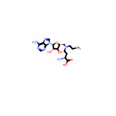 CCCN(CC[C@H](N)C(=O)O)C[C@H]1O[C@@H](n2cnc3c(N)ncnc32)[C@@H](O)C1O